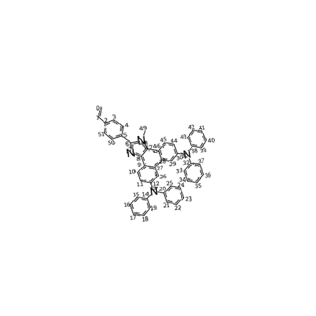 C=Cc1ccc(-c2nc3c4ccc(N(c5ccccc5)c5ccccc5)cc4c4cc(N(c5ccccc5)c5ccccc5)ccc4c3n2C)cc1